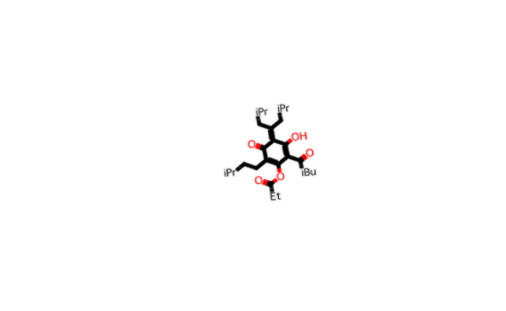 CCC(=O)OC1=C(CCC(C)C)C(=O)C(=C(CC(C)C)CC(C)C)C(O)=C1C(=O)C(C)CC